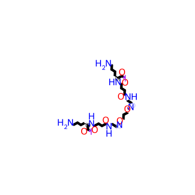 NCCCC[C@H](NC(=O)CCC(=O)NC/C=N\OCCCO/N=C\CNC(=O)CCC(=O)N[C@@H](CCCCN)C(=O)I)C(=O)I